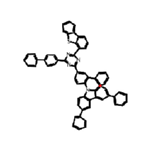 c1ccc(-c2ccc(-c3nc(-c4ccc(-n5c6ccc(-c7ccccc7)cc6c6cc(-c7ccccc7)ccc65)c(-c5ccccc5)c4)nc(-c4cccc5c4sc4ccccc45)n3)cc2)cc1